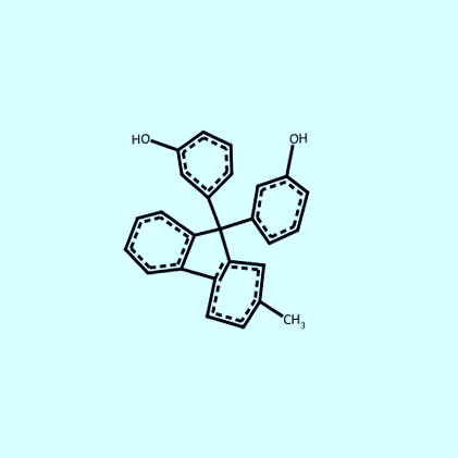 Cc1ccc2c(c1)C(c1cccc(O)c1)(c1cccc(O)c1)c1ccccc1-2